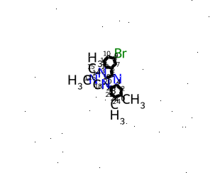 Cc1cc2nc3c4cc(Br)ccc4n(C(C)N(C)C)c3nc2cc1C